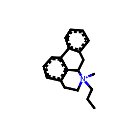 CCC[N+]1(C)CCc2cccc3c2C1Cc1ccccc1-3